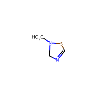 O=C(O)N1CN=CS1